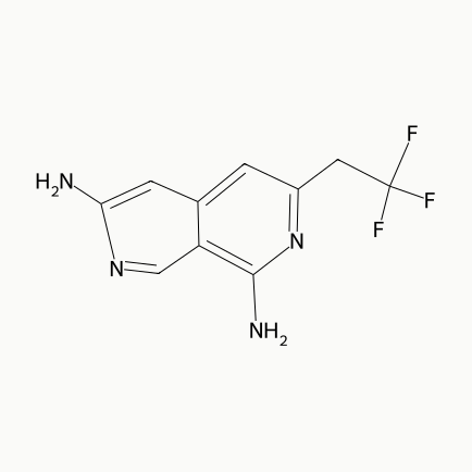 Nc1cc2cc(CC(F)(F)F)nc(N)c2cn1